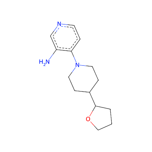 Nc1cnccc1N1CCC(C2CCCO2)CC1